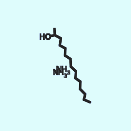 CCCCCCCCCCCCCC(C)O.N.N